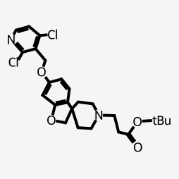 CC(C)(C)OC(=O)CCN1CCC2(CC1)COc1cc(OCc3c(Cl)ccnc3Cl)ccc12